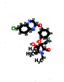 CCC(=O)C(C#N)(Oc1cc(Oc2cnc3cc(Cl)ccc3n2)ccc1Cl)C(=O)N(CC)OC